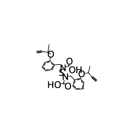 C#CC(C)Oc1ccccc1CN(SN(Cc1ccccc1OC(C)C#C)C(=O)O)C(=O)O